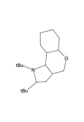 CC(C)(C)C1CC2COC3CCCCC3C2N1C(C)(C)C